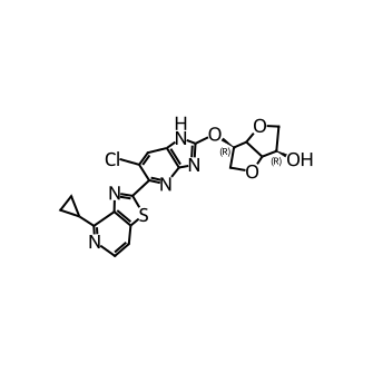 O[C@@H]1COC2C1OC[C@H]2Oc1nc2nc(-c3nc4c(C5CC5)nccc4s3)c(Cl)cc2[nH]1